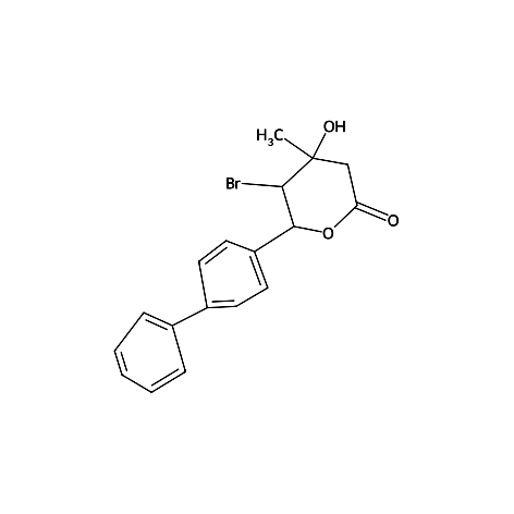 CC1(O)CC(=O)OC(c2ccc(-c3ccccc3)cc2)C1Br